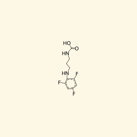 O=C(O)NCCCNc1c(F)cc(F)cc1F